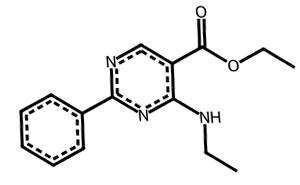 CCNc1nc(-c2ccccc2)ncc1C(=O)OCC